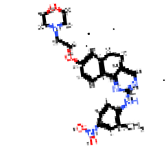 Cc1cc([N+](=O)[O-])ccc1Nc1ncc2c(n1)-c1ccc(OCCN3CCOCC3)cc1CC2